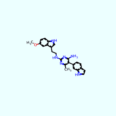 COc1ccc2[nH]cc(CCNc3nc(C)c(-c4ccc5cc[nH]c5c4)c(N)n3)c2c1